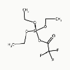 CCO[Si](OCC)(OCC)OC(=O)C(F)(F)F